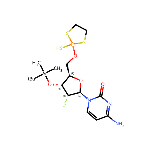 CC(C)(C)[Si](C)(C)O[C@H]1[C@@H](F)[C@H](n2ccc(N)nc2=O)O[C@@H]1CO[P]1(S)SCCS1